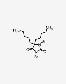 CCCCCC1(CCCCC)C(=O)N(Br)C(=O)N1Br